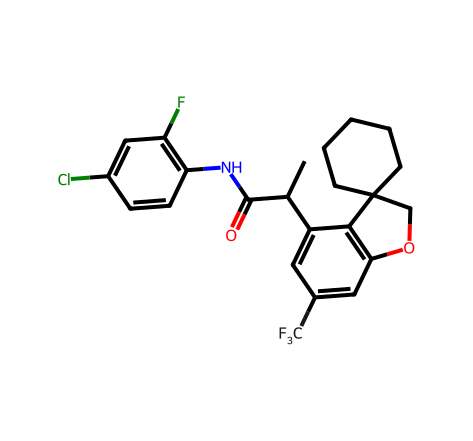 CC(C(=O)Nc1ccc(Cl)cc1F)c1cc(C(F)(F)F)cc2c1C1(CCCCC1)CO2